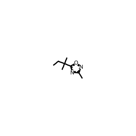 CCC(C)(C)c1nc(C)no1